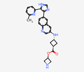 Cc1cccc(-c2[nH]cnc2-c2ccc3ncc(N[C@H]4C[C@H](C(=O)OC5CNC5)C4)cc3c2)n1